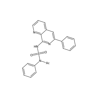 CC(=O)N(c1ccccc1)S(=O)(=O)Nc1nc(-c2ccccc2)cc2cccnc12